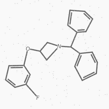 Fc1cccc(OC2CN(C(c3ccccc3)c3ccccc3)C2)c1